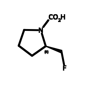 O=C(O)N1CCC[C@@H]1CF